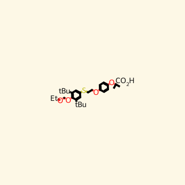 CCOCOc1c(C(C)(C)C)cc(SCCOc2ccc(OC(C)(C)C(=O)O)cc2)cc1C(C)(C)C